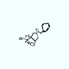 BrC1=NOC2C[C@@H](OCc3ccccc3)C[C@@H]12